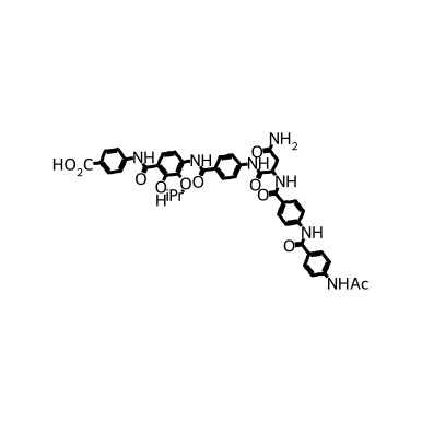 CC(=O)Nc1ccc(C(=O)Nc2ccc(C(=O)NC(CC(N)=O)C(=O)Nc3ccc(C(=O)Nc4ccc(C(=O)Nc5ccc(C(=O)O)cc5)c(O)c4OC(C)C)cc3)cc2)cc1